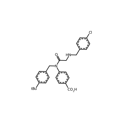 CC(C)(C)c1ccc(CN(C(=O)CNCc2ccc(Cl)cc2)c2ccc(C(=O)O)cc2)cc1